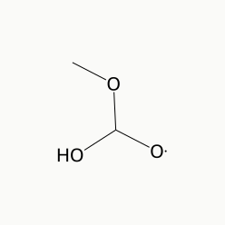 COC([O])O